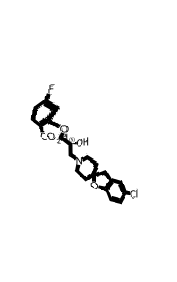 O=C(O)c1ccc(F)cc1OC[C@@H](O)CN1CCC2(CC1)Cc1cc(Cl)ccc1O2